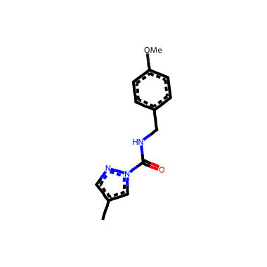 COc1ccc(CNC(=O)n2cc(C)cn2)cc1